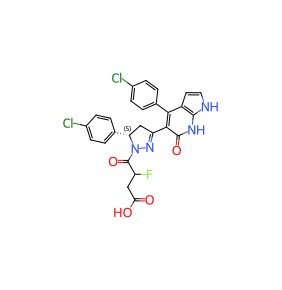 O=C(O)CC(F)C(=O)N1N=C(c2c(-c3ccc(Cl)cc3)c3cc[nH]c3[nH]c2=O)C[C@H]1c1ccc(Cl)cc1